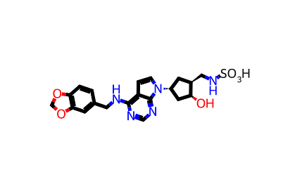 O=S(=O)(O)NC[C@@H]1C[C@@H](n2ccc3c(NCc4ccc5c(c4)OCO5)ncnc32)C[C@@H]1O